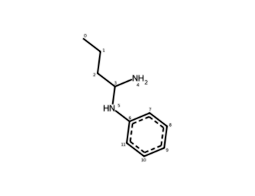 CCCC(N)Nc1ccccc1